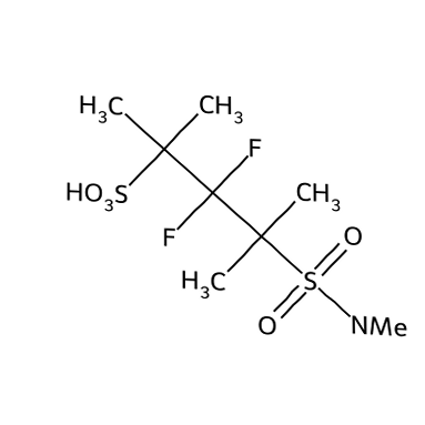 CNS(=O)(=O)C(C)(C)C(F)(F)C(C)(C)S(=O)(=O)O